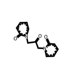 O=C(Cn1ccccc1=O)Cn1ccccc1=O